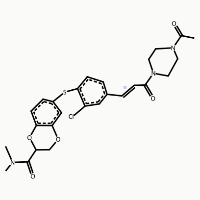 CC(=O)N1CCN(C(=O)/C=C/c2ccc(Sc3ccc4c(c3)OCC(C(=O)N(C)C)O4)c(Cl)c2)CC1